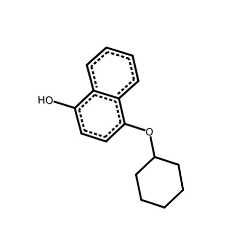 Oc1ccc(OC2CCCCC2)c2ccccc12